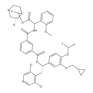 COc1ccccc1C(NC(=O)c1cccc(C(=O)O[C@@H](Cc2c(Cl)cncc2Cl)c2ccc(OC(F)F)c(OCC3CC3)c2)c1)C(=O)O[C@H]1CN2CCC1CC2